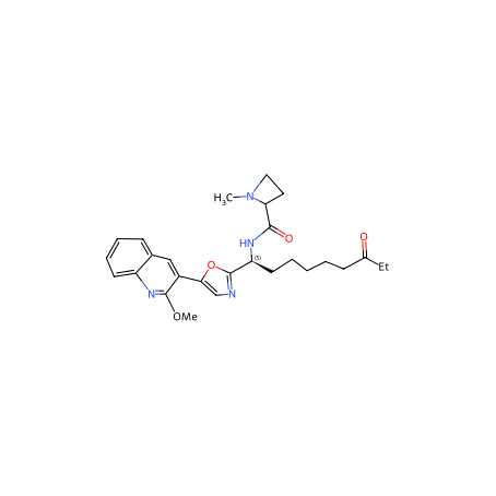 CCC(=O)CCCCC[C@H](NC(=O)C1CCN1C)c1ncc(-c2cc3ccccc3nc2OC)o1